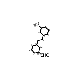 CCCC1CCCC(CCC2CCCC(C=O)C2)C1